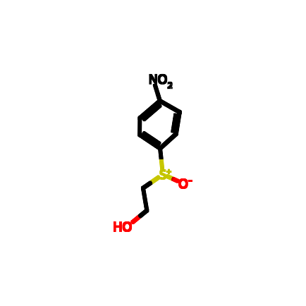 O=[N+]([O-])c1ccc([S+]([O-])CCO)cc1